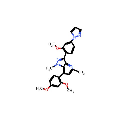 COc1ccc(-c2cc(C)nc3c(-c4ccc(-n5cccn5)cc4OC)nn(C)c23)c(OC)c1